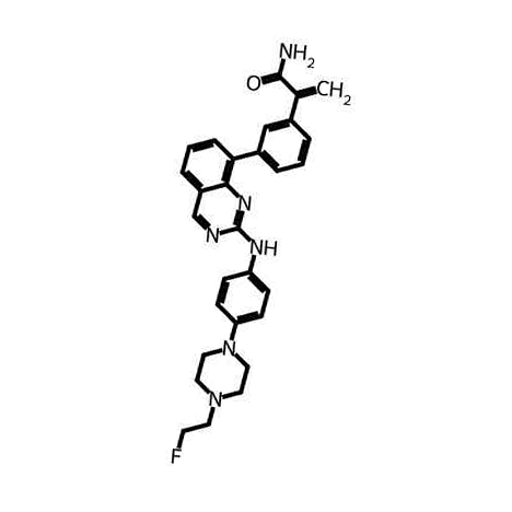 C=C(C(N)=O)c1cccc(-c2cccc3cnc(Nc4ccc(N5CCN(CCF)CC5)cc4)nc23)c1